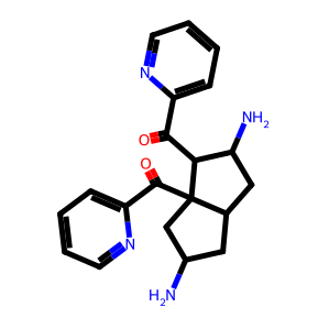 NC1CC2CC(N)C(C(=O)c3ccccn3)C2(C(=O)c2ccccn2)C1